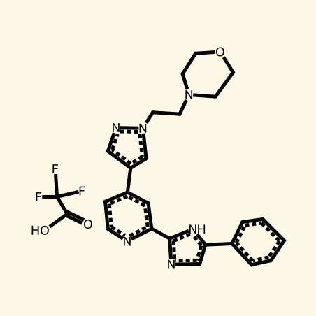 O=C(O)C(F)(F)F.c1ccc(-c2cnc(-c3cc(-c4cnn(CCN5CCOCC5)c4)ccn3)[nH]2)cc1